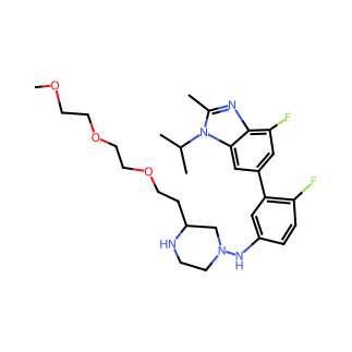 COCCOCCOCCC1CN(Nc2ccc(F)c(-c3cc(F)c4nc(C)n(C(C)C)c4c3)c2)CCN1